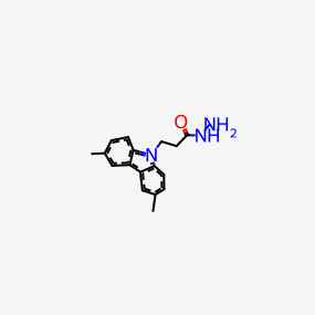 Cc1ccc2c(c1)c1cc(C)ccc1n2CCC(=O)NN